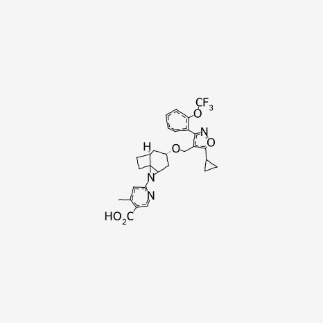 Cc1cc(N2C3C[C@@H](OCc4c(-c5ccccc5OC(F)(F)F)noc4C4CC4)C[C@@H]4CCC342)ncc1C(=O)O